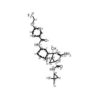 C[C@]1(c2cc(NC(=O)c3cnc(OCC(F)(F)F)cn3)ccc2F)N=C(N)S[C@@]2(C(=O)N[C@@H]3CC3(F)F)C[C@H]21